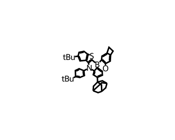 CC(C)(C)c1ccc(N2c3cc(C45CC6CC(CC(C6)C4)C5)cc4c3B(c3cc5c(cc3O4)CC5)c3sc4ccc(C(C)(C)C)cc4c32)cc1